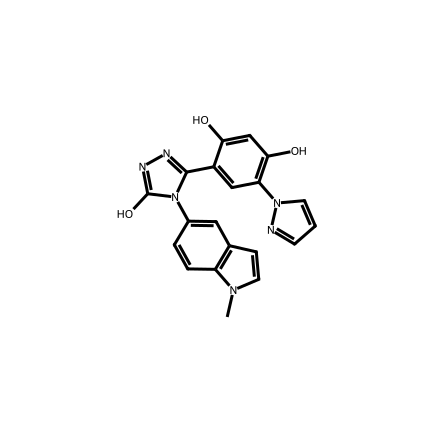 Cn1ccc2cc(-n3c(O)nnc3-c3cc(-n4cccn4)c(O)cc3O)ccc21